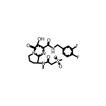 CN(C(=O)CS(C)(=O)=O)C1CCCn2c1nc(C(=O)NCc1ccc(F)c(F)c1)c(O)c2=O